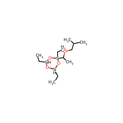 CC[SiH]1O[SiH](CC)O[Si](CC)(C(C)OCC(C)C)O1